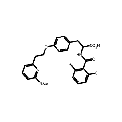 CNc1cccc(CCOc2ccc(C[C@H](NC(=O)c3c(C)cccc3Cl)C(=O)O)cc2)n1